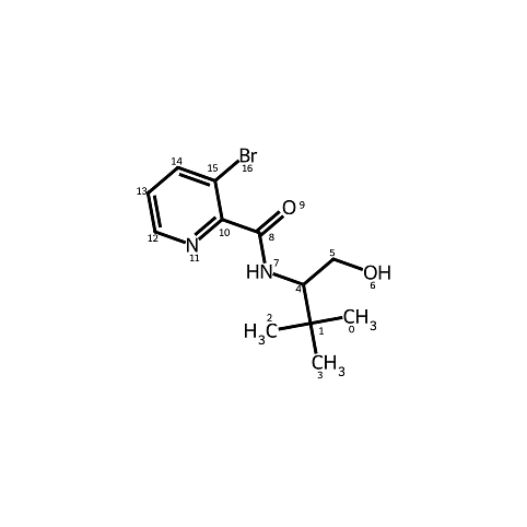 CC(C)(C)C(CO)NC(=O)c1ncccc1Br